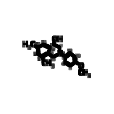 COc1ccc(N(CCO)Cc2ccc(C)cc2C)cc1